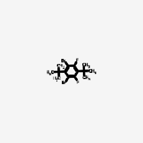 CC(C)(C)c1c(F)c(Br)c(C(C)(C)C)c(Br)c1F